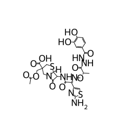 CC(=O)OCC1(C(=O)O)CS[C@@H]2C(NC(=O)C(=NOC(C)C(=O)NNC(=O)c3ccc(O)c(O)c3)c3csc(N)n3)C(=O)N2C1